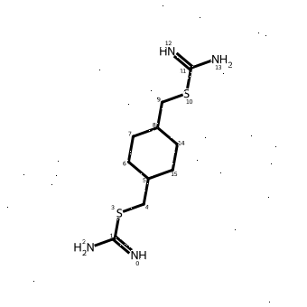 N=C(N)SCC1CCC(CSC(=N)N)CC1